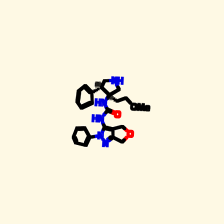 COCC[C@@]1(NC(=O)Nc2c3c(nn2-c2ccccc2)COC3)CNC[C@H]1c1ccccc1